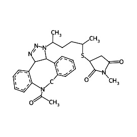 CC(=O)N1Cc2ccccc2C2C(N=NN2C(C)CCC(C)SC2CC(=O)N(C)C2=O)c2ccccc21